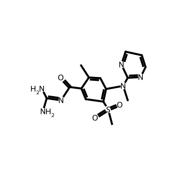 Cc1cc(N(C)c2ncccn2)c(S(C)(=O)=O)cc1C(=O)N=C(N)N